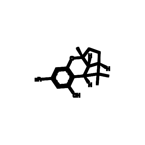 CCCc1cc(O)c2c(c1)O[C@]1(C)CC[C@H]3[C@@H]1[C@@H]2C3(C)C